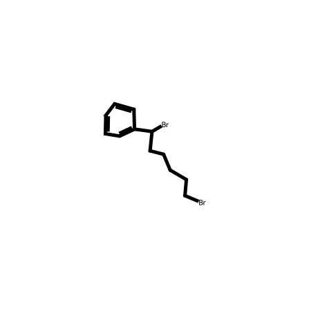 BrCCCCCC(Br)c1cc[c]cc1